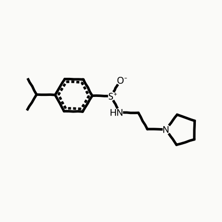 CC(C)c1ccc([S+]([O-])NCCN2CCCC2)cc1